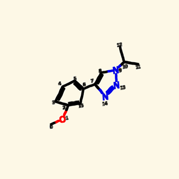 COc1cccc(-c2cn(C(C)C)nn2)c1